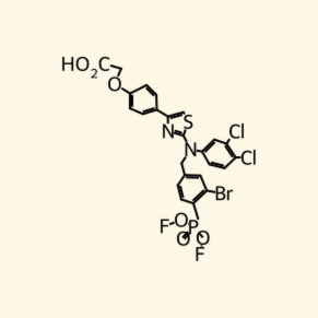 O=C(O)COc1ccc(-c2csc(N(Cc3ccc(CP(=O)(OF)OF)c(Br)c3)c3ccc(Cl)c(Cl)c3)n2)cc1